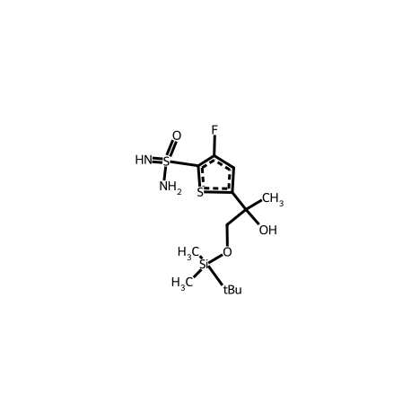 CC(O)(CO[Si](C)(C)C(C)(C)C)c1cc(F)c(S(=N)(N)=O)s1